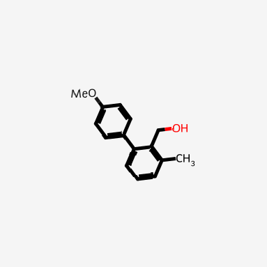 COc1ccc(-c2cccc(C)c2CO)cc1